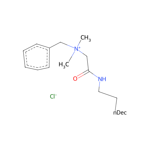 CCCCCCCCCCCCNC(=O)C[N+](C)(C)Cc1ccccc1.[Cl-]